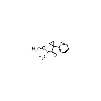 CON(C)C(=O)C1(c2ccccn2)CC1